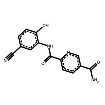 N#Cc1ccc(O)c(NC(=O)c2ccc(C(N)=O)cn2)c1